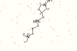 CC(C)N1CCC(CNCCCN(C)C)C1